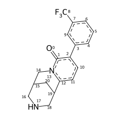 O=c1c(-c2cccc(C(F)(F)F)c2)ccc2n1CC1CNCC2C1